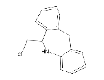 ClCC1Nc2ccccc2Cc2ccccc21